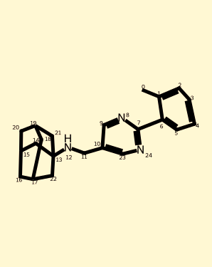 Cc1ccccc1-c1ncc(CNC23CC4CC(CC(C4)C2)C3)cn1